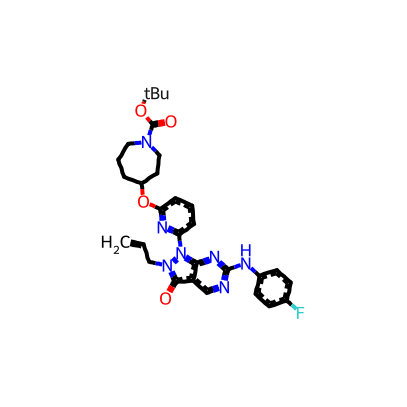 C=CCn1c(=O)c2cnc(Nc3ccc(F)cc3)nc2n1-c1cccc(OC2CCCN(C(=O)OC(C)(C)C)CC2)n1